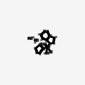 CC[CH2][Hf](=[SiH2])([Cl])([C]1=CC=CC1)[CH]1C=Cc2ccccc21.Cl.Cl